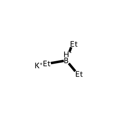 CC[BH-](CC)CC.[K+]